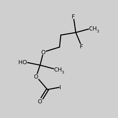 CC(F)(F)CCOC(C)(O)OC(=O)I